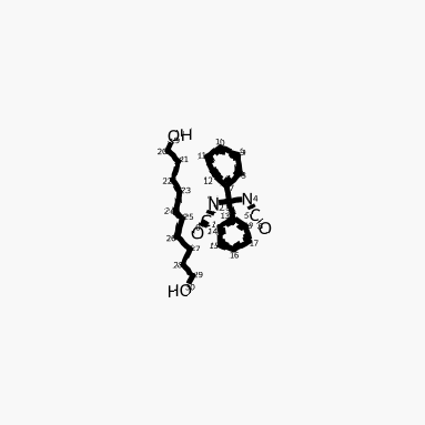 O=C=NC(N=C=O)(c1ccccc1)c1ccccc1.OCCCCCCCCCCO